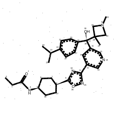 CCC(=O)N[C@H]1CC[C@@H](c2nc(-c3cncc([C@@](O)(c4ccc(C(C)C)cc4)C4(C)CN(C)C4)c3)no2)CC1